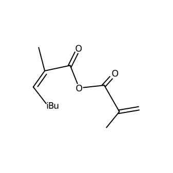 C=C(C)C(=O)OC(=O)C(C)=CC(C)CC